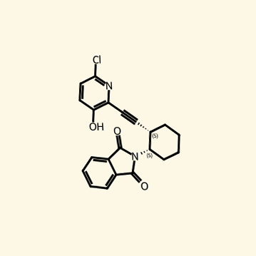 O=C1c2ccccc2C(=O)N1[C@H]1CCCC[C@H]1C#Cc1nc(Cl)ccc1O